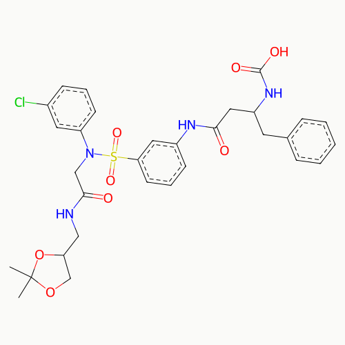 CC1(C)OCC(CNC(=O)CN(c2cccc(Cl)c2)S(=O)(=O)c2cccc(NC(=O)CC(Cc3ccccc3)NC(=O)O)c2)O1